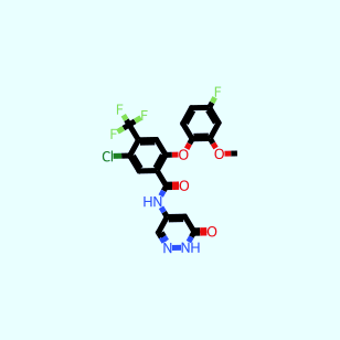 COc1cc(F)ccc1Oc1cc(C(F)(F)F)c(Cl)cc1C(=O)Nc1cn[nH]c(=O)c1